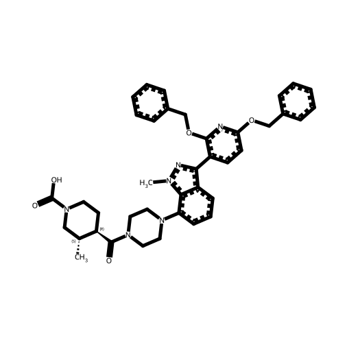 C[C@@H]1CN(C(=O)O)CC[C@H]1C(=O)N1CCN(c2cccc3c(-c4ccc(OCc5ccccc5)nc4OCc4ccccc4)nn(C)c23)CC1